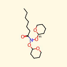 CCCCCCC(=O)N(OC1CCCCO1)O[C@@H]1CCCCO1